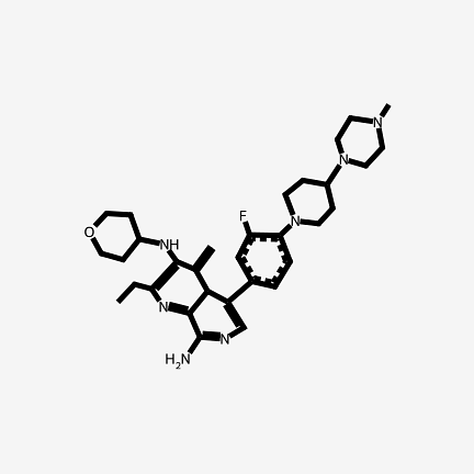 C=C1C(NC2CCOCC2)=C(CC)N=C2C(N)=NC=C(c3ccc(N4CCC(N5CCN(C)CC5)CC4)c(F)c3)C12